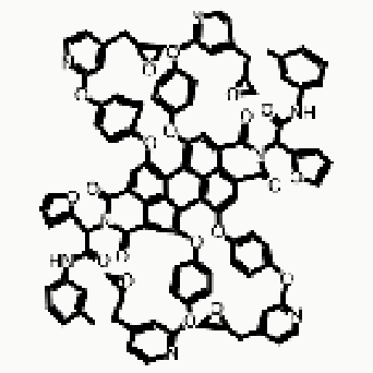 Cc1cccc(NC(=O)C(c2ccco2)N2C(=O)c3cc(Oc4ccc(Oc5cc(CC6CO6)ccn5)cc4)c4c5c(Oc6ccc(Oc7cc(CC8CO8)ccn7)cc6)cc6c7c(cc(Oc8ccc(Oc9cc(CC%10CO%10)ccn9)cc8)c(c8c(Oc9ccc(Oc%10cc(CC%11CO%11)ccn%10)cc9)cc(c3c48)C2=O)c75)C(=O)N(C(C(=O)Nc2cccc(C)c2)c2ccco2)C6=O)c1